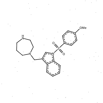 COc1ccc(S(=O)(=O)n2cc(CN3CCCNCC3)c3ccccc32)cc1